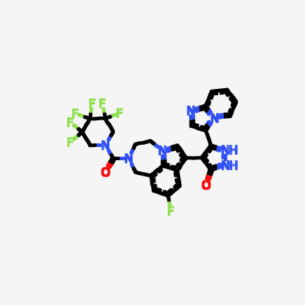 O=C(N1CCn2cc(-c3c(-c4cnc5ccccn45)[nH][nH]c3=O)c3cc(F)cc(c32)C1)N1CC(F)(F)C(F)(F)C(F)(F)C1